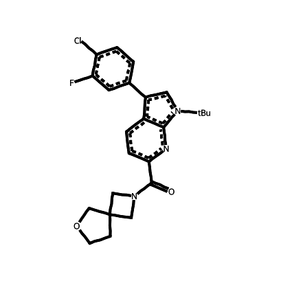 CC(C)(C)n1cc(-c2ccc(Cl)c(F)c2)c2ccc(C(=O)N3CC4(CCOC4)C3)nc21